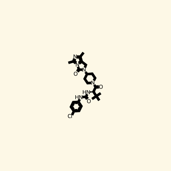 Cc1nc(C)n2c1CN(C1CCN(C(=O)[C@H](NC(=O)Nc3ccc(Cl)cc3)C(C)(C)C)CC1)C2=O